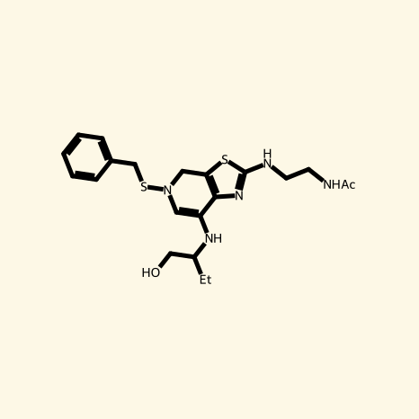 CCC(CO)NC1=CN(SCc2ccccc2)Cc2sc(NCCNC(C)=O)nc21